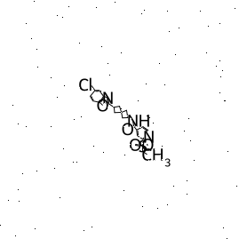 CCS(=O)(=O)c1cc(C(=O)NC2CC3(C2)CC(c2nc4cc(Cl)ccc4o2)C3)ccn1